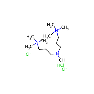 CN(CCC[N+](C)(C)C)CCC[N+](C)(C)C.Cl.[Cl-].[Cl-]